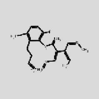 C=CCCc1c(C)ccc(F)c1NC(=C)C(=C\N=C)/C(/C=N\C)=C\C